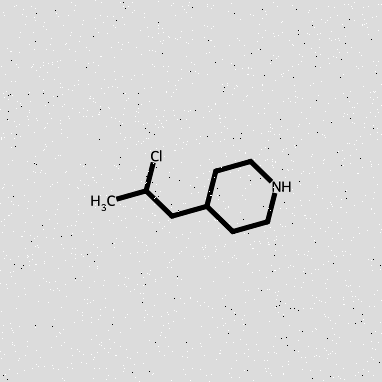 CC(Cl)CC1CCNCC1